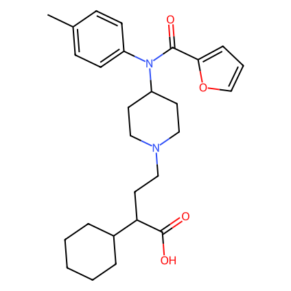 Cc1ccc(N(C(=O)c2ccco2)C2CCN(CCC(C(=O)O)C3CCCCC3)CC2)cc1